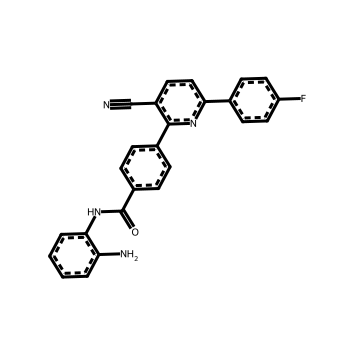 N#Cc1ccc(-c2ccc(F)cc2)nc1-c1ccc(C(=O)Nc2ccccc2N)cc1